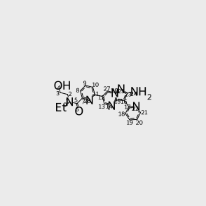 CCN(CCO)C(=O)c1cccc(-c2cnc3c(-c4ccccn4)c(N)nn3c2)n1